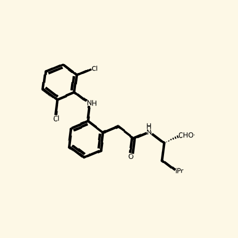 CC(C)C[C@@H]([C]=O)NC(=O)Cc1ccccc1Nc1c(Cl)cccc1Cl